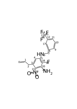 C=CCc1cc(NCc2cccc(C(F)(F)F)c2)c(F)c(N)c1[N+](=O)[O-]